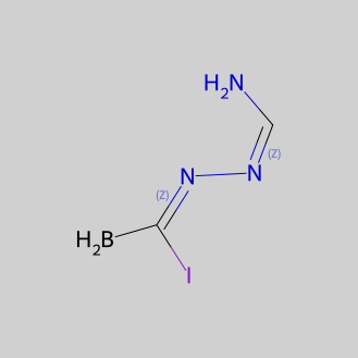 B/C(I)=N/N=C\N